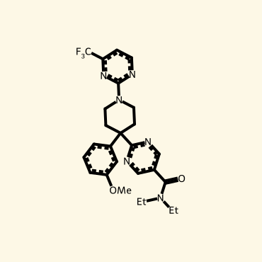 CCN(CC)C(=O)c1cnc(C2(c3cccc(OC)c3)CCN(c3nccc(C(F)(F)F)n3)CC2)nc1